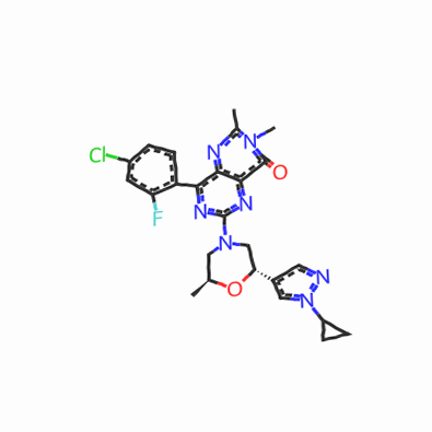 Cc1nc2c(-c3ccc(Cl)cc3F)nc(N3C[C@H](C)O[C@@H](c4cnn(C5CC5)c4)C3)nc2c(=O)n1C